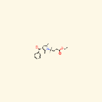 CCOC(=O)CCC(C)(C)n1c(C)cc(C(=O)c2ccccc2)c1C